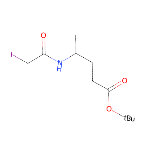 CC(CCC(=O)OC(C)(C)C)NC(=O)CI